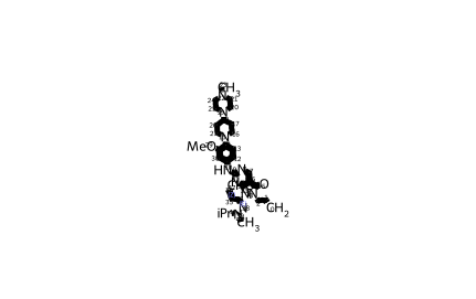 C=CCn1c(=O)c2cnc(Nc3ccc(N4CCC(N5CCN(C)CC5)CC4)c(OC)c3)nc2n1C(/C=C\C=O)=N/N(C)C(C)C